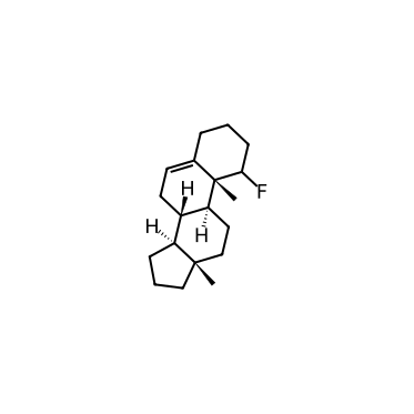 C[C@@]12CCC[C@H]1[C@@H]1CC=C3CCCC(F)[C@]3(C)[C@H]1CC2